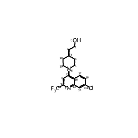 OCCC1CCN(c2cc(C(F)(F)F)nc3cc(Cl)ccc23)CC1